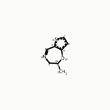 C[C@H]1CN=Cc2sccc2O1